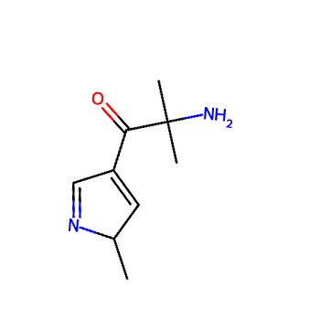 CC1C=C(C(=O)C(C)(C)N)C=N1